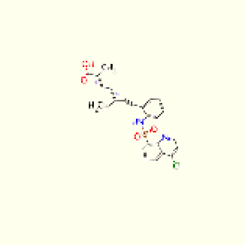 C=C/C(C#Cc1ccccc1NS(=O)(=O)c1cccc2c(Cl)ccnc12)=C\C=C(/C)C(=O)O